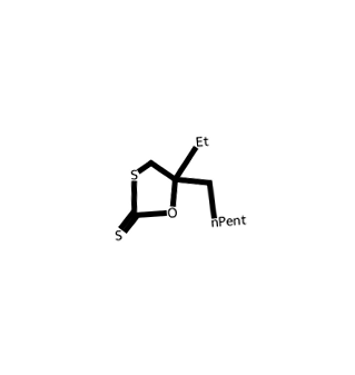 CCCCCCC1(CC)CSC(=S)O1